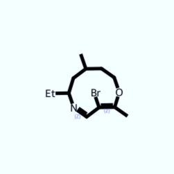 CCC1CC(C)CCO/C(C)=C(Br)/C=N\1